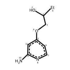 CCC(O)COc1ccnc(N)c1